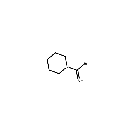 N=C(Br)N1CCCCC1